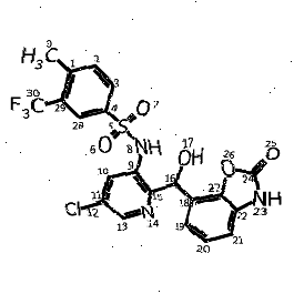 Cc1ccc(S(=O)(=O)Nc2cc(Cl)cnc2C(O)c2cccc3[nH]c(=O)oc23)cc1C(F)(F)F